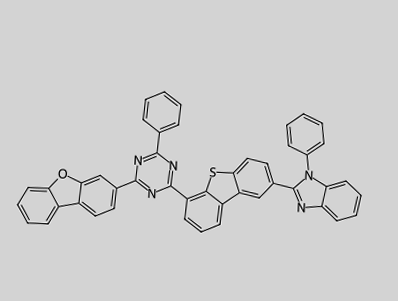 c1ccc(-c2nc(-c3ccc4c(c3)oc3ccccc34)nc(-c3cccc4c3sc3ccc(-c5nc6ccccc6n5-c5ccccc5)cc34)n2)cc1